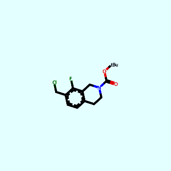 CC(C)(C)OC(=O)N1CCc2ccc(CCl)c(F)c2C1